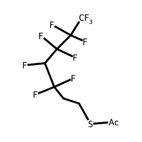 CC(=O)SCCC(F)(F)C(F)C(F)(F)C(F)(F)C(F)(F)F